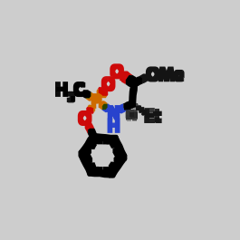 CC[C@H](NP(C)(=O)Oc1ccccc1)C(=O)OC